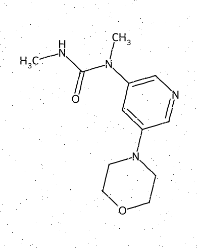 CNC(=O)N(C)c1cncc(N2CCOCC2)c1